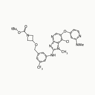 CNc1cc(Oc2cnc3nc(Nc4cc(COC5CN(C(=O)OC(C)(C)C)C5)cc(C(F)(F)F)c4)n(C)c3c2Cl)ccn1